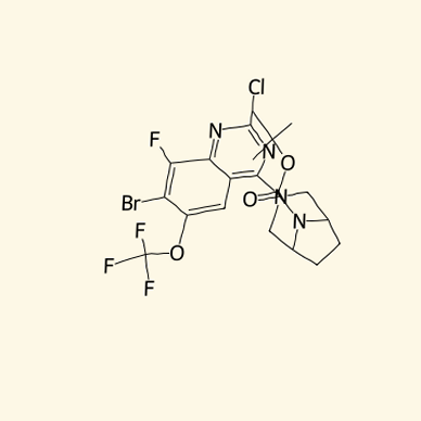 CC(C)(C)OC(=O)N1C2CCC1CN(c1nc(Cl)nc3c(F)c(Br)c(OC(F)(F)F)cc13)C2